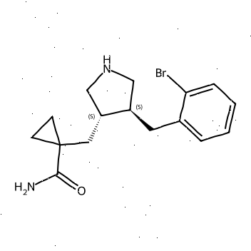 NC(=O)C1(C[C@@H]2CNC[C@H]2Cc2ccccc2Br)CC1